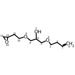 C=CCCOCC(O)COCCC1CO1